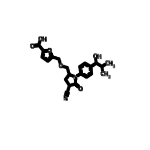 CC(C)C(O)c1ccc(N2C(=O)C(C#N)CC2COCc2ccc(C(=O)O)o2)cc1